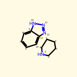 C1CCNCC1.c1ccc2[nH]nnc2c1